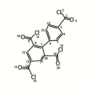 O=C(Cl)c1ccc(-c2c(C(=O)Cl)cc(C(=O)Cl)cc2C(=O)Cl)cc1